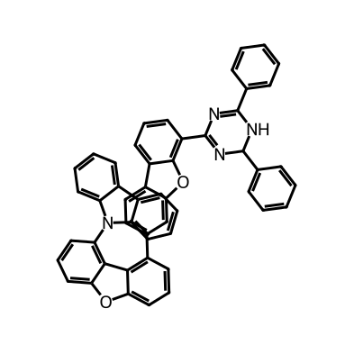 c1ccc(C2=NC(c3cccc4c3oc3cc(-c5cccc6oc7cccc(-n8c9ccccc9c9ccccc98)c7c56)ccc34)=NC(c3ccccc3)N2)cc1